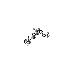 COc1ccc(-c2cccc(C(=O)N(C)C)c2)cc1[S+]([O-])Nc1cccc(NCCNC(=O)c2ncccc2Cl)c1